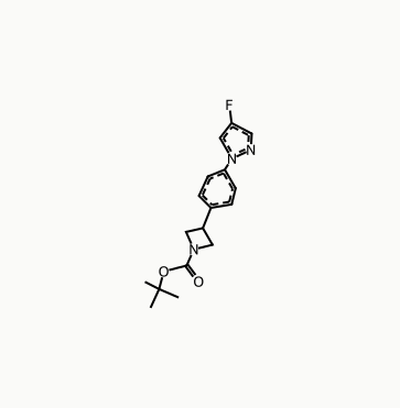 CC(C)(C)OC(=O)N1CC(c2ccc(-n3cc(F)cn3)cc2)C1